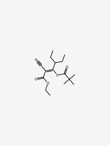 CCOC(=O)C(C#N)=C(OC(=O)C(C)(C)C)C(CC)CC